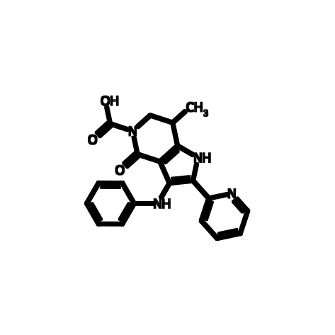 CC1CN(C(=O)O)C(=O)c2c1[nH]c(-c1ccccn1)c2Nc1ccccc1